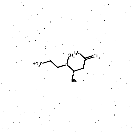 C=C(C)CC(CCCC)N(C)CCC(=O)O